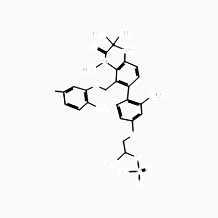 COc1cc(OCC(C)OP(=O)(O)O)ccc1-c1ccc2c(c1COc1cc(F)ccc1C)N(C)C(=O)C(C)(C)N2